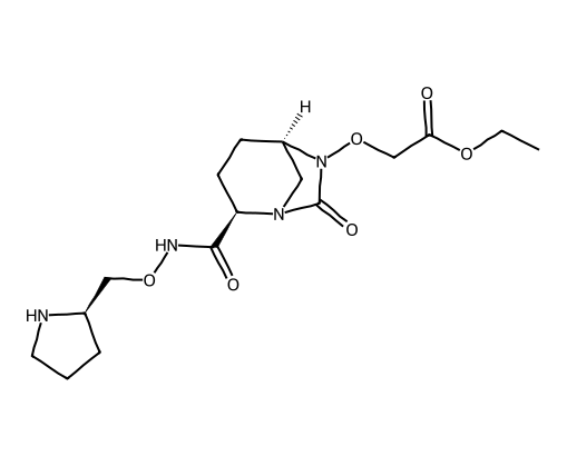 CCOC(=O)CON1C(=O)N2C[C@H]1CC[C@@H]2C(=O)NOC[C@H]1CCCN1